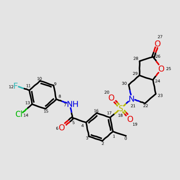 Cc1ccc(C(=O)Nc2ccc(F)c(Cl)c2)cc1S(=O)(=O)N1CCC2OC(=O)CC2C1